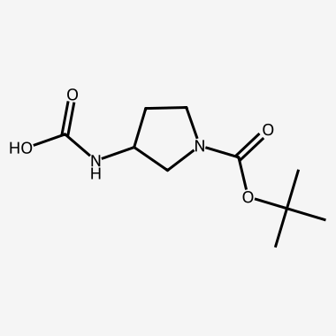 CC(C)(C)OC(=O)N1CCC(NC(=O)O)C1